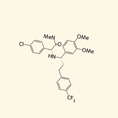 CNC(=O)[C@H](N[C@@H](CCc1ccc(C(F)(F)F)cc1)c1ccc(OC)c(OC)c1)c1ccc(Cl)cc1